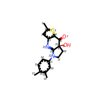 Cc1cc2c(s1)C(=O)[C@]1(O)CCN(c3ccc(C)c(C)c3)C1=N2